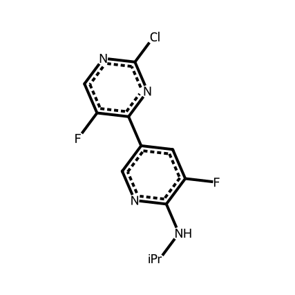 CC(C)Nc1ncc(-c2nc(Cl)ncc2F)cc1F